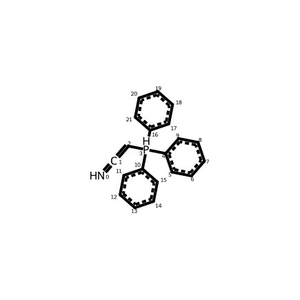 N=C=C[PH](c1ccccc1)(c1ccccc1)c1ccccc1